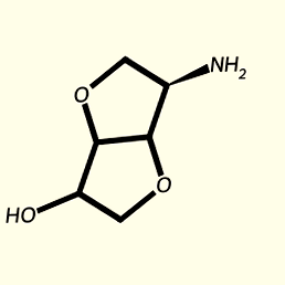 N[C@@H]1COC2C(O)COC21